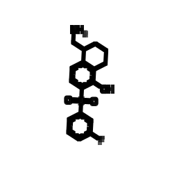 NCC1CCCc2c1ccc(S(=O)(=O)c1cccc(F)c1)c2O